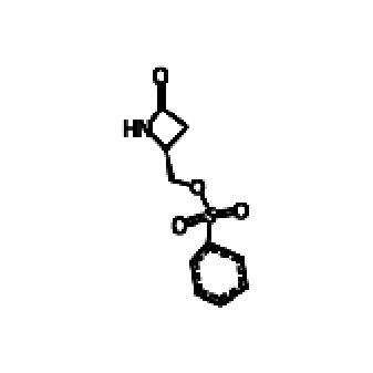 O=C1C[C@@H](COS(=O)(=O)c2ccccc2)N1